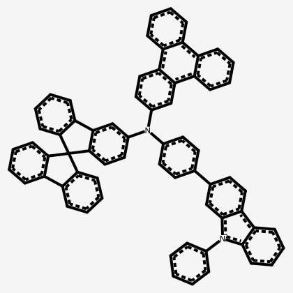 c1ccc(-n2c3ccccc3c3ccc(-c4ccc(N(c5ccc6c(c5)-c5ccccc5C65c6ccccc6-c6ccccc65)c5ccc6c7ccccc7c7ccccc7c6c5)cc4)cc32)cc1